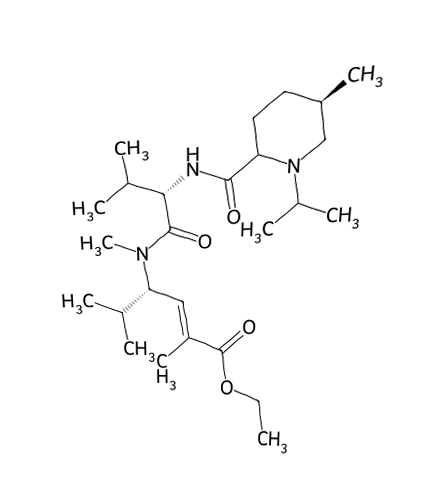 CCOC(=O)/C(C)=C/[C@H](C(C)C)N(C)C(=O)[C@@H](NC(=O)C1CC[C@@H](C)CN1C(C)C)C(C)C